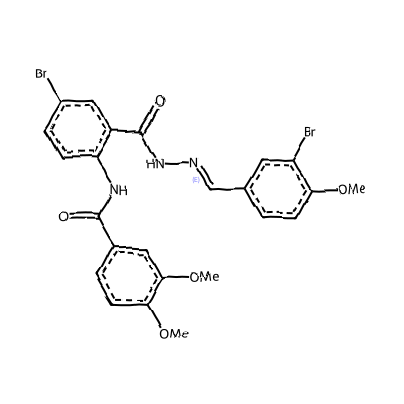 COc1ccc(/C=N/NC(=O)c2cc(Br)ccc2NC(=O)c2ccc(OC)c(OC)c2)cc1Br